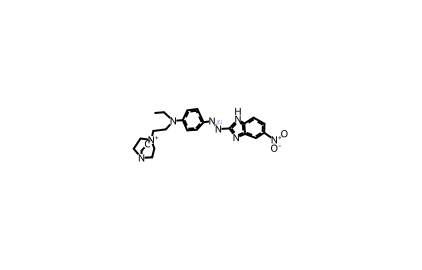 CCN(CC[N+]12CCN(CC1)CC2)c1ccc(/N=N/c2nc3cc([N+](=O)[O-])ccc3[nH]2)cc1